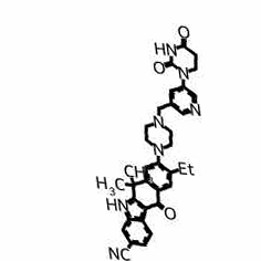 CCc1cc2c(cc1N1CCN(Cc3cncc(N4CCC(=O)NC4=O)c3)CC1)C(C)(C)c1[nH]c3cc(C#N)ccc3c1C2=O